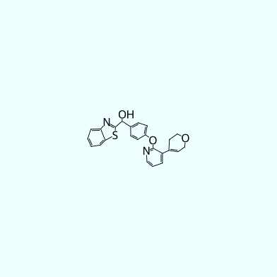 OC(c1ccc(Oc2ncccc2C2=CCOCC2)cc1)c1nc2ccccc2s1